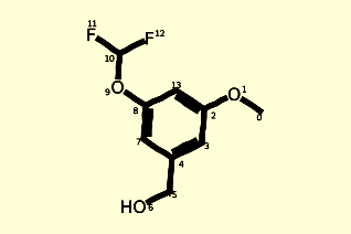 COc1cc([CH]O)cc(OC(F)F)c1